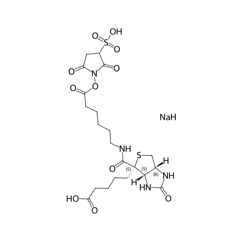 O=C(O)CCCC[C@]1(C(=O)NCCCCCC(=O)ON2C(=O)CC(S(=O)(=O)O)C2=O)SC[C@@H]2NC(=O)N[C@@H]21.[NaH]